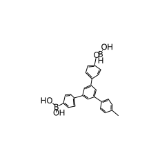 Cc1ccc(-c2cc(-c3ccc(OBO)cc3)cc(-c3ccc(B(O)O)cc3)c2)cc1